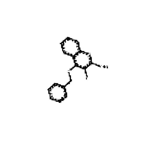 O=Cc1nc2ccccc2c(OCc2ccccc2)c1Cl